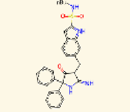 CCCCNS(=O)(=O)c1cc2ccc(CC3C(=N)NC(c4ccccc4)(c4ccccc4)C3=O)cc2[nH]1